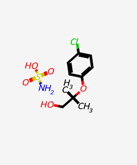 CC(C)(CO)Oc1ccc(Cl)cc1.NS(=O)(=O)O